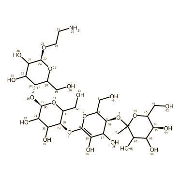 CC1(O[C@@H]2C(CO)OC(O[C@@H]3C(CO)O[C@H](O[C@H]4C(CO)O[C@H](OCCN)C(O)C4O)C(O)C3O)=C(O)C2O)OC(CO)[C@@H](O)C(O)C1O